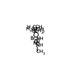 CCCCNc1ncc(Br)c(N[C@H]2CCC[C@H](O[Si](C)(C)C(C)(C)C)CCC2)n1